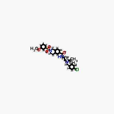 COc1cccc(S(=O)(=O)N2CCc3cc(C(=O)NCCN(Cc4ccc(Cl)cc4)C(C)(C)C)ccc3C2)c1